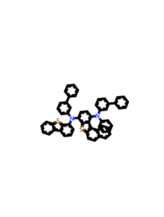 c1ccc(-c2cccc(N(c3cccc4c3sc3ccccc34)c3ccc(N(c4ccccc4)c4cccc(-c5ccccc5)c4)c4c3sc3ccc5ccccc5c34)c2)cc1